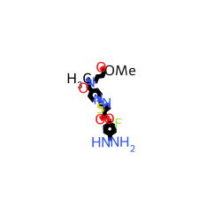 COC(=O)CCCN(C)C(=O)C1CCN(c2ncc(C(=O)Oc3ccc(C(=N)N)cc3F)s2)CC1